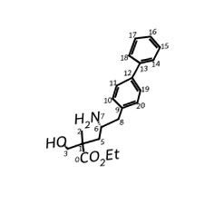 CCOC(=O)C(C)(CO)C[C@H](N)Cc1ccc(-c2ccccc2)cc1